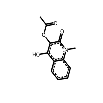 CC(=O)Oc1c(O)c2ccccc2n(C)c1=O